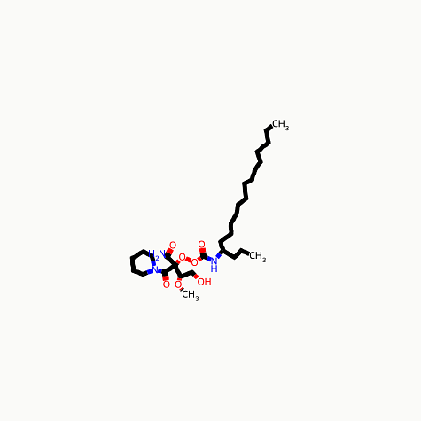 CCCCCCCCCCCCCCC(CCC)NC(=O)OOC(C(N)=O)(C(=O)N1CCCCC1)C(CO)OC